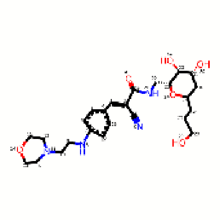 N#C/C(=C\c1ccc(NCCN2CCOCC2)cc1)C(=O)NC[C@H]1OC(CCCO)C[C@@H](O)[C@@H]1O